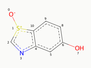 [O-][s+]1cnc2cc(O)ccc21